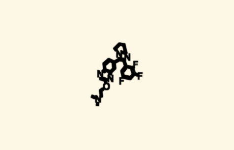 CN(C)CCOc1cnc2ccc(-c3c(-c4cc(F)cc(F)c4F)nc4n3CCC4)cc2n1